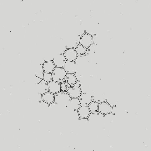 CC1(C)c2cccc(N(c3ccccc3)c3ccc4c(c3)sc3ccccc34)c2-c2c1c1ccccc1c1c2oc2ccc(-c3cccc4c3oc3ccccc34)cc21